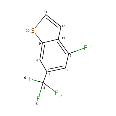 Fc1cc(C(F)(F)F)cc2sc[c]c12